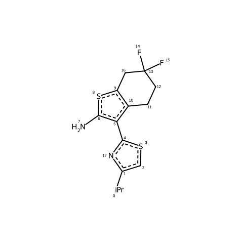 CC(C)c1csc(-c2c(N)sc3c2CCC(F)(F)C3)n1